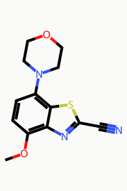 COc1ccc(N2CCOCC2)c2sc(C#N)nc12